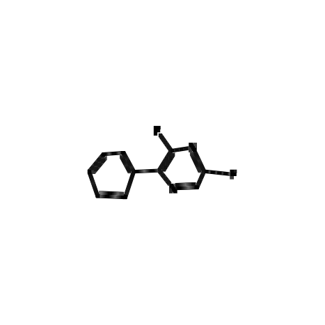 Fc1cnc(-c2ccccc2)c(F)n1